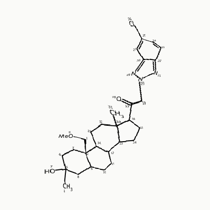 COC[C@]12CCC(C)(O)CC1CCC1C3CCC(C(=O)Cn4nc5ccc(Cl)cc5n4)C3(C)CCC12